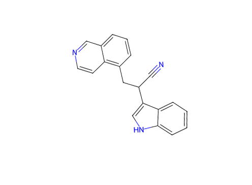 N#CC(Cc1cccc2cnccc12)c1c[nH]c2ccccc12